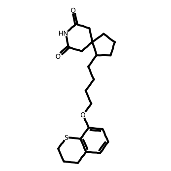 O=C1CC2(CCCC2CCCCOc2cccc3c2SCCC3)CC(=O)N1